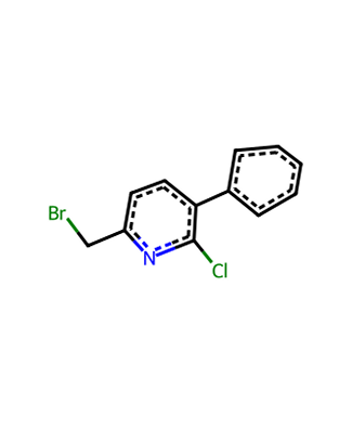 Clc1nc(CBr)ccc1-c1ccccc1